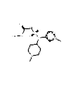 CN1CCC(N(c2cnn(C)c2)S(=O)(=O)NC(=O)OC(C)(C)C)CC1